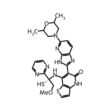 COC[C@](S)(Nc1c(-c2nc3ccc(N4CC(C)OC(C)C4)nc3[nH]2)c(=O)[nH]c2ccsc12)c1ncccn1